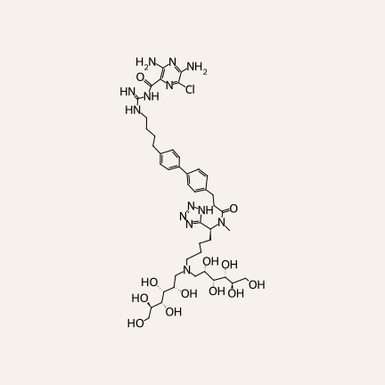 CN(C(=O)CCc1ccc(-c2ccc(CCCCNC(=N)NC(=O)c3nc(Cl)c(N)nc3N)cc2)cc1)[C@@H](CCCCN(C[C@H](O)[C@@H](O)[C@H](O)[C@H](O)CO)C[C@H](O)[C@@H](O)[C@H](O)[C@H](O)CO)c1nnn[nH]1